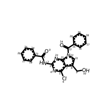 O=C(Nc1nc(Cl)c2c(CO)cn(C(=O)c3ccccc3)c2n1)c1ccccc1